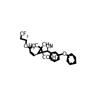 CC1(C)[C@H](/C=C\C(=O)OCCC(F)(F)F)[C@@]1(C(=O)O)[C@@H](C#N)c1cccc(Oc2ccccc2)c1